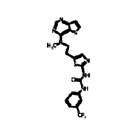 CN(CCc1cnc(NC(=O)Nc2cccc(C(F)(F)F)c2)s1)c1ncnc2ccsc12